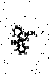 CN=Cc1c(-c2ccccc2)[nH]c2ccccc12